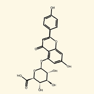 O=C(O)[C@H]1OC(Oc2cc(O)cc3oc(-c4ccc(O)cc4)cc(=O)c23)[C@H](O)[C@@H](O)[C@@H]1O